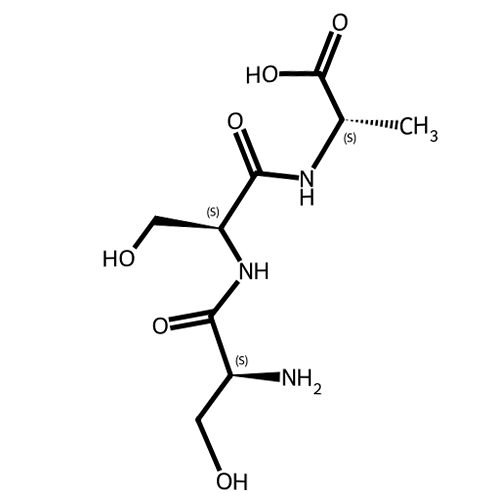 C[C@H](NC(=O)[C@H](CO)NC(=O)[C@@H](N)CO)C(=O)O